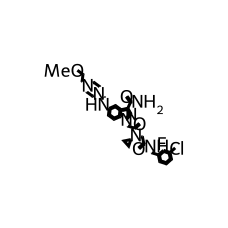 COCCN1CCN(CNc2ccc3c(c2)c(C(N)=O)nn3CC(=O)N(CC(=O)NCc2cccc(Cl)c2F)C2CC2)CC1